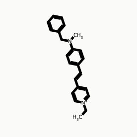 CC[n+]1ccc(/C=C/c2ccc(N(C)Cc3ccccc3)cc2)cc1